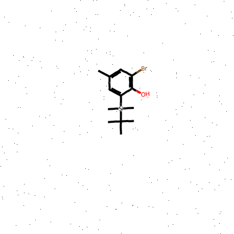 Cc1cc(Br)c(O)c([Si](C)(C)C(C)(C)C)c1